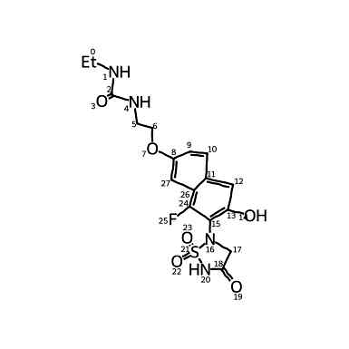 CCNC(=O)NCCOc1ccc2cc(O)c(N3CC(=O)NS3(=O)=O)c(F)c2c1